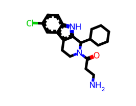 NCCC(=O)N1CCc2c([nH]c3ccc(Cl)cc23)C1C1CCCCC1